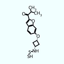 CC(C)C(=O)c1cc2ccc(O[C@H]3C[C@@H](NSS)C3)cc2o1